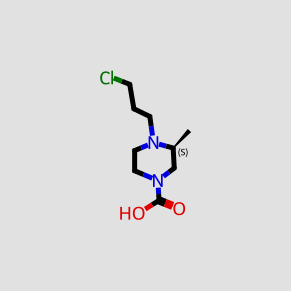 C[C@H]1CN(C(=O)O)CCN1CCCCl